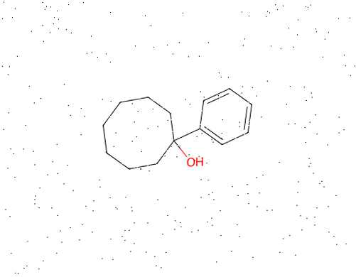 OC1(c2ccccc2)CCCCCCC1